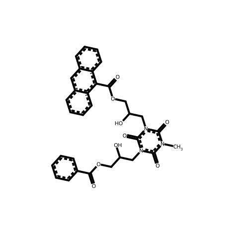 Cn1c(=O)n(CC(O)COC(=O)c2ccccc2)c(=O)n(CC(O)COC(=O)c2c3ccccc3cc3ccccc23)c1=O